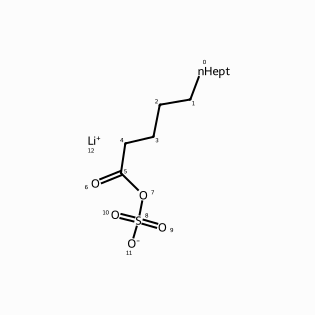 CCCCCCCCCCCC(=O)OS(=O)(=O)[O-].[Li+]